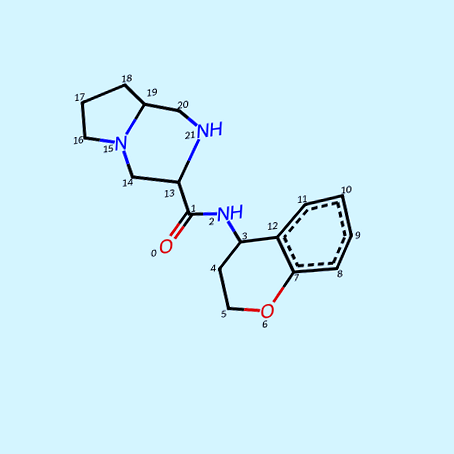 O=C(NC1CCOc2ccccc21)C1CN2CCCC2CN1